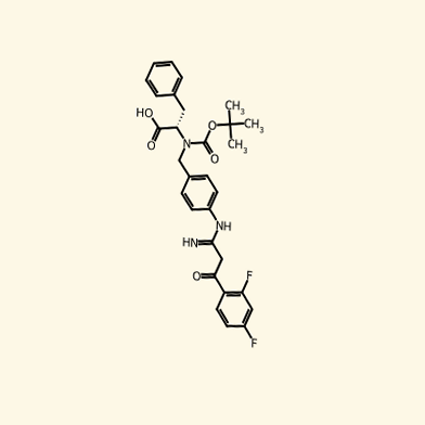 CC(C)(C)OC(=O)N(Cc1ccc(NC(=N)CC(=O)c2ccc(F)cc2F)cc1)[C@@H](Cc1ccccc1)C(=O)O